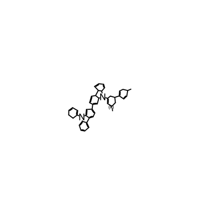 CC1C=CC(C2CC(N3C4C=CC=CC4C4C=CC(c5ccc6c7ccccc7n(C7=CC=CCC7)c6c5)=CC43)=C[C@H](C)C2)=CC1